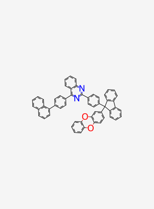 c1ccc2c(c1)Oc1ccc(C3(c4ccc(-c5nc(-c6ccc(-c7cccc8ccccc78)cc6)c6ccccc6n5)cc4)c4ccccc4-c4ccccc43)cc1O2